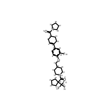 O=C(C1CC=C(c2ccc(OCC3CCN(C(=O)C4(C(F)(F)F)CCCC4)CC3)c(F)c2)CC1)N1CCCC1